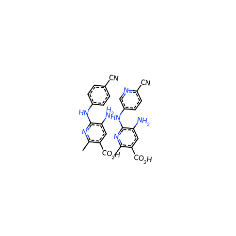 Cc1nc(Nc2ccc(C#N)cc2)c(N)cc1C(=O)O.Cc1nc(Nc2ccc(C#N)nc2)c(N)cc1C(=O)O